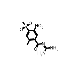 Cc1cc(S(C)(=O)=O)c([N+](=O)[O-])cc1C(=O)N=C(N)N